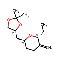 C=C1CC[C@@H](C[C@@H]2COC(C)(C)O2)O[C@@H]1CC